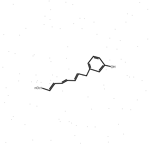 CCCCCCCCC=CC=CC=CCc1cccc(O)c1